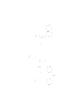 C=C(C)C(C)CC(C)C(C)(C)CC(=C)C(Cc1ccc(C(=O)c2ccccc2)cc1)NC(C)C(C)(C)CC(=C)C(C)CC(C)C(C)(C)CC(=O)C(Cc1ccc2ccccc2c1)NC(=C)C(C)(C)C